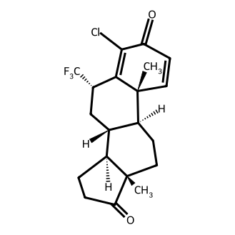 C[C@]12C=CC(=O)C(Cl)=C1[C@@H](C(F)(F)F)C[C@@H]1[C@@H]2CC[C@]2(C)C(=O)CC[C@@H]12